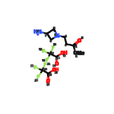 COC(=O)CCN1CC(N)C1.O=C(O)C(F)(F)F.O=C(O)C(F)(F)F